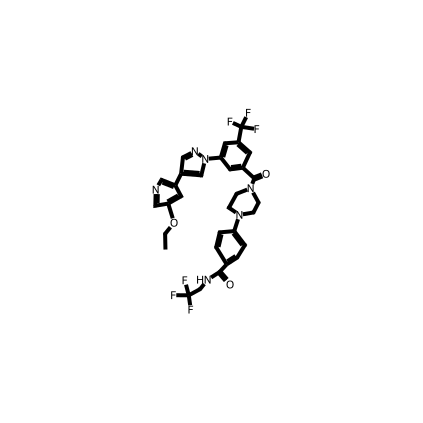 CCOc1cncc(-c2cnn(-c3cc(C(=O)N4CCN(c5ccc(C(=O)NCC(F)(F)F)cc5)CC4)cc(C(F)(F)F)c3)c2)c1